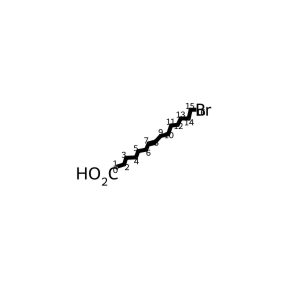 O=C(O)CCCCCCC=CCCCCCCCBr